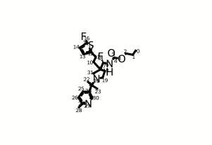 CCCOC(=O)N[C@H](F)C1(CCc2ccc(F)s2)CCN(C(C)(C)c2ccc(C)nc2)C1